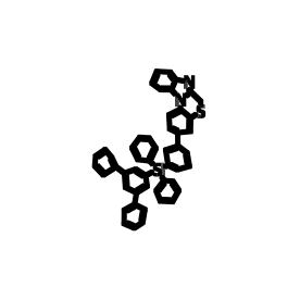 c1ccc(-c2cc(-c3ccccc3)cc([Si](c3ccccc3)(c3ccccc3)c3cccc(-c4ccc5c(c4)SCc4nc6ccccc6n4-5)c3)c2)cc1